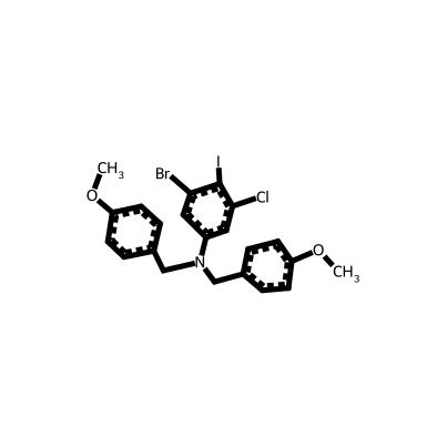 COc1ccc(CN(Cc2ccc(OC)cc2)c2cc(Cl)c(I)c(Br)c2)cc1